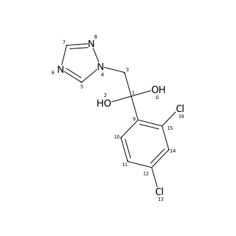 OC(O)(Cn1cncn1)c1ccc(Cl)cc1Cl